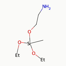 CCO[Si](C)(OCC)OCCN